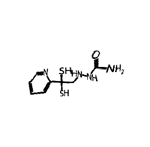 NC(=O)NNCC(S)(S)c1ccccn1